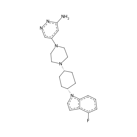 Nc1cc(N2CCN([C@H]3CC[C@@H](n4ccc5c(F)cccc54)CC3)CC2)cnn1